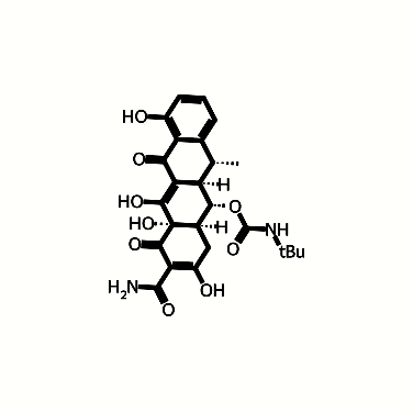 C[C@H]1c2cccc(O)c2C(=O)C2=C(O)[C@]3(O)C(=O)C(C(N)=O)=C(O)C[C@@H]3[C@@H](OC(=O)NC(C)(C)C)[C@@H]21